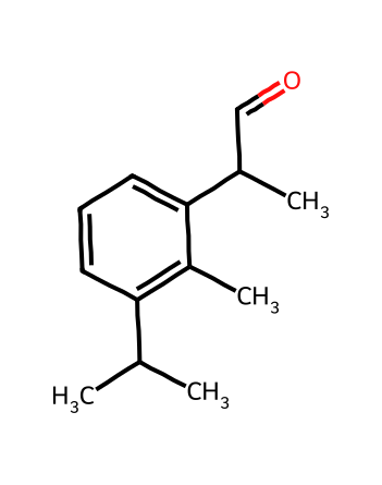 Cc1c(C(C)C)cccc1C(C)C=O